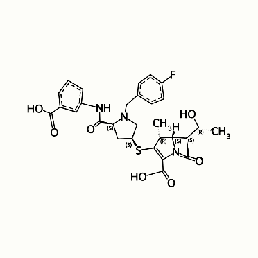 C[C@@H](O)[C@H]1C(=O)N2C(C(=O)O)=C(S[C@H]3C[C@@H](C(=O)Nc4cccc(C(=O)O)c4)N(Cc4ccc(F)cc4)C3)[C@H](C)[C@H]12